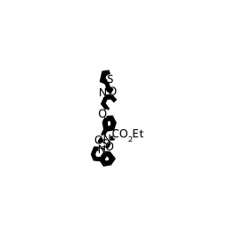 CCOC(=O)CN(Cc1cccc(OCCc2nc(-c3cccs3)oc2C)c1)S(=O)(=O)N1CCCc2ccccc21